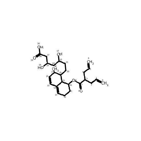 C=CCC(CC=C)C(=O)OC1CCC=C2C=CC(C)C(CCC(O)CC(O)CC(=O)O)C21